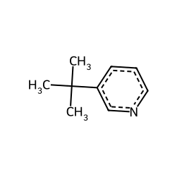 CC(C)(C)c1cccnc1